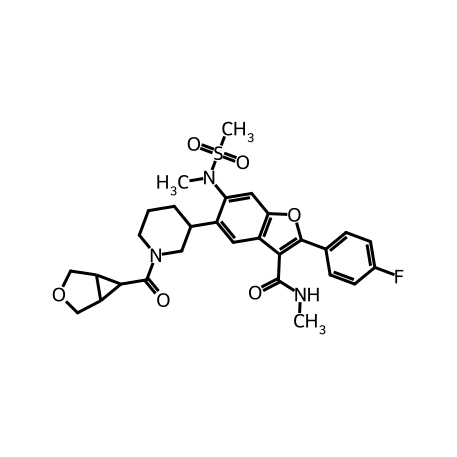 CNC(=O)c1c(-c2ccc(F)cc2)oc2cc(N(C)S(C)(=O)=O)c(C3CCCN(C(=O)C4C5COCC54)C3)cc12